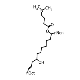 CCCCCCCCC=CCC(O)CCCCCCC(CCCCCCCCC)OC(=O)CCCN(C)C